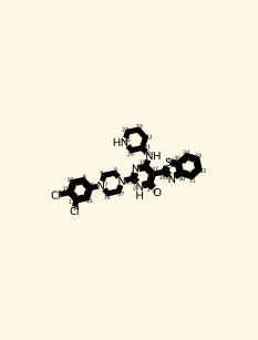 O=c1[nH]c(N2CCN(c3ccc(Cl)c(Cl)c3)CC2)nc(NC2CCCNC2)c1-c1nc2ccccc2s1